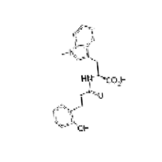 Cn1cc(C[C@H](NC(=O)/C=C/c2ccccc2O)C(=O)O)c2ccccc21